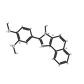 COc1ccc(-c2nc3c4ccccc4ccc3n2C)cc1OC